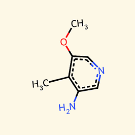 COc1cncc(N)c1C